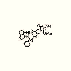 COC(=O)C1(C(=O)OC)Cc2c(C)c(B3Nc4cccc5cccc(c45)N3Cc3ccccc3)c(C3CC3)c(C)c2C1